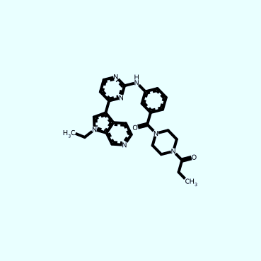 CCC(=O)N1CCN(C(=O)c2cccc(Nc3nccc(-c4cn(CC)c5cnccc45)n3)c2)CC1